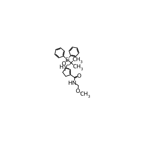 COCNC(=O)C1=CC(O[Si](c2ccccc2)(c2ccccc2)C(C)(C)C)CC1